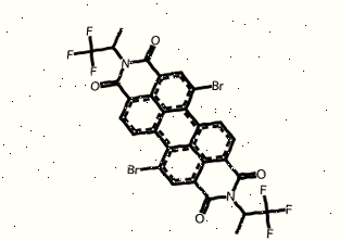 CC(N1C(=O)c2ccc3c4c(Br)cc5c6c(ccc(c7c(Br)cc(c2c37)C1=O)c64)C(=O)N(C(C)C(F)(F)F)C5=O)C(F)(F)F